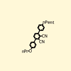 CCCCCc1ccc(-c2ccc(-c3ccc(OCCC)cc3)c(C#N)c2C#N)cc1